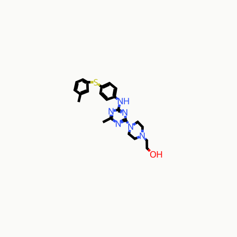 Cc1cccc(Sc2ccc(Nc3nc(C)nc(N4CCN(CCO)CC4)n3)cc2)c1